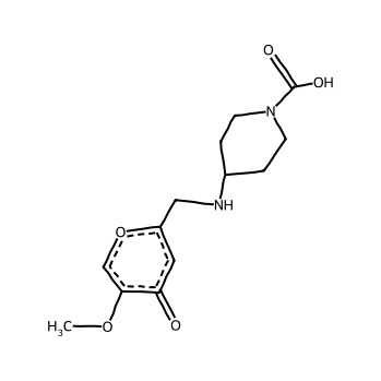 COc1coc(CNC2CCN(C(=O)O)CC2)cc1=O